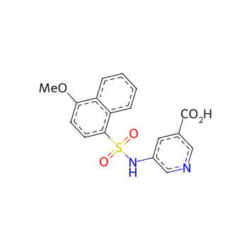 COc1ccc(S(=O)(=O)Nc2cncc(C(=O)O)c2)c2ccccc12